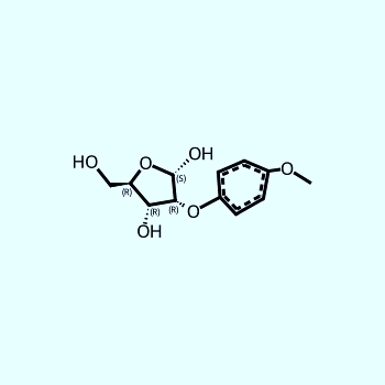 COc1ccc(O[C@@H]2[C@H](O)[C@@H](CO)O[C@@H]2O)cc1